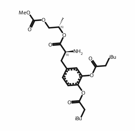 CCC(C)CC(=O)Oc1ccc(C[C@H](N)C(=O)O[C@@H](C)COC(=O)OC)cc1OC(=O)CC(C)CC